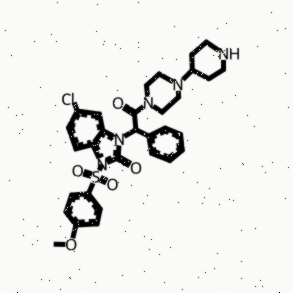 COc1ccc(S(=O)(=O)n2c(=O)n(C(C(=O)N3CCN(C4CCNCC4)CC3)c3ccccc3)c3cc(Cl)ccc32)cc1